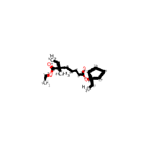 CCOC(=O)C(C)(CC)CCCCC(=O)OC1(CC)CCCC1